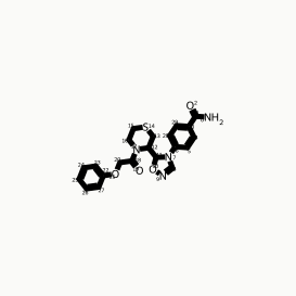 NC(=O)c1ccc(N2C=NOC2C2CSCCN2C(=O)COc2ccccc2)cc1